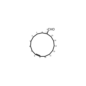 O=CC1CCCCCCC=CCCCCCC1